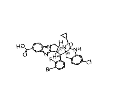 O=C(O)c1ccc2c(c1)nc1n2C[C@H]2[C@@H]1[C@H](c1cccc(Br)c1F)[C@@]1(Cc3ccc(Cl)cc3NC1=O)N2CC1CC1